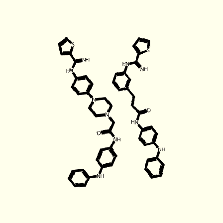 N=C(Nc1ccc(N2CCN(CC(=O)Nc3ccc(Nc4ccccc4)cc3)CC2)cc1)c1cccs1.N=C(Nc1cccc(CCC(=O)Nc2ccc(Nc3ccccc3)cc2)c1)c1cccs1